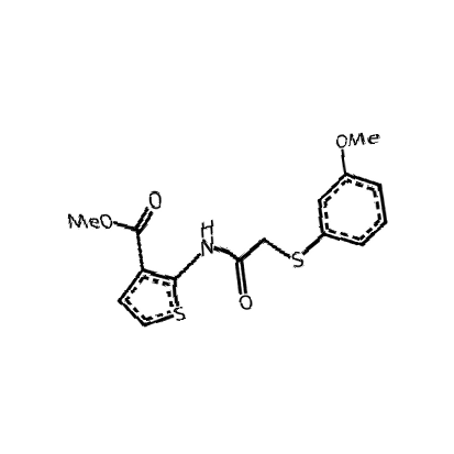 COC(=O)c1ccsc1NC(=O)CSc1cccc(OC)c1